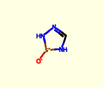 [O-][S+]1NC=NN1